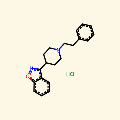 Cl.c1ccc(CCN2CCC(c3noc4ccccc34)CC2)cc1